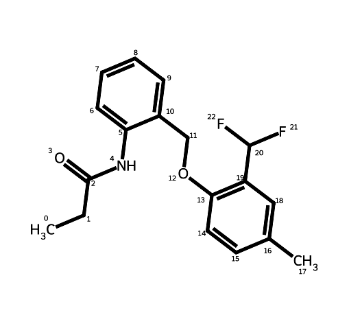 CCC(=O)Nc1ccccc1COc1ccc(C)cc1C(F)F